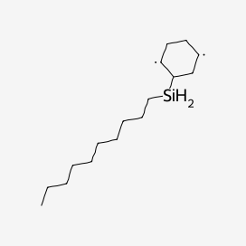 CCCCCCCCCC[SiH2]C1[CH]CC[CH]C1